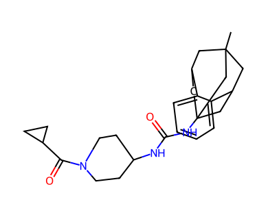 CC12CC3CC(NC(=O)NC4CCN(C(=O)C5CC5)CC4)(CC(C1)c1ccccc13)C2